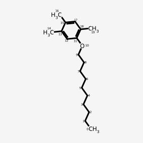 CCCCCCCCCCOc1cc(C)c(C)cc1C